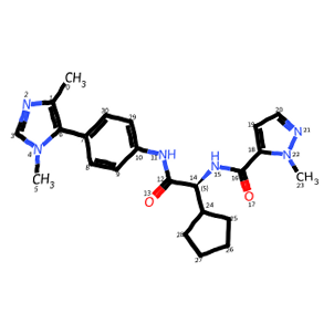 Cc1ncn(C)c1-c1ccc(NC(=O)[C@@H](NC(=O)c2ccnn2C)C2CCCC2)cc1